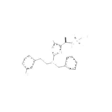 Cc1sc(N(CCc2cccc(C(F)(F)F)c2)Cc2ccccc2)nc1C(=O)NS(C)(=O)=O